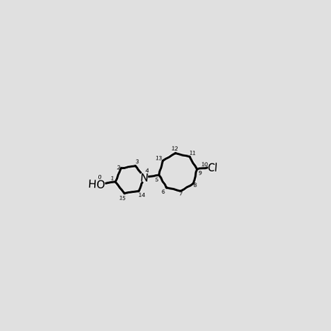 OC1CCN(C2CCCC(Cl)CCC2)CC1